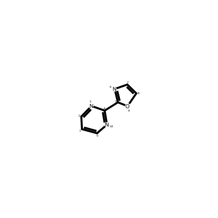 [c]1ccnc(-c2ncco2)n1